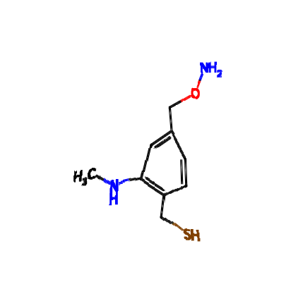 CNc1cc(CON)ccc1CS